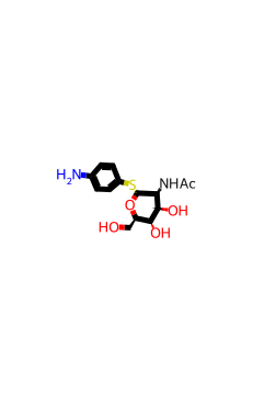 CC(=O)N[C@H]1[C@@H](O)[C@H](O)[C@@H](CO)O[C@H]1Sc1ccc(N)cc1